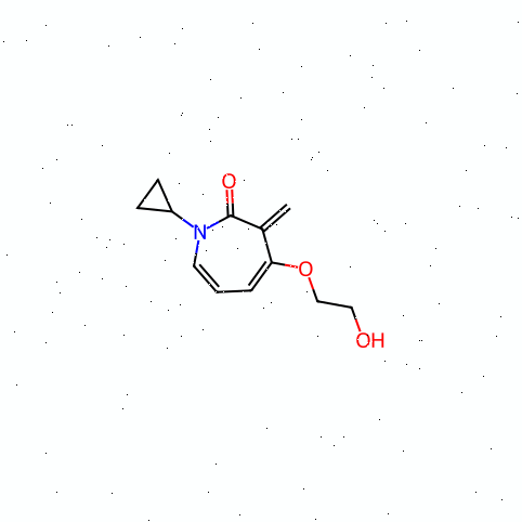 C=C1C(=O)N(C2CC2)C=CC=C1OCCO